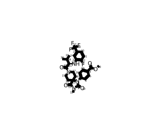 COC(=O)c1ccc(N2C(=O)N(C)C(=O)C23CCN(C(=O)[C@H](Nc2cc(C(F)(F)F)ccc2F)C(C)C)CC3)cc1